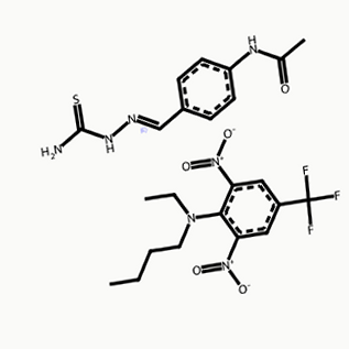 CC(=O)Nc1ccc(/C=N/NC(N)=S)cc1.CCCCN(CC)c1c([N+](=O)[O-])cc(C(F)(F)F)cc1[N+](=O)[O-]